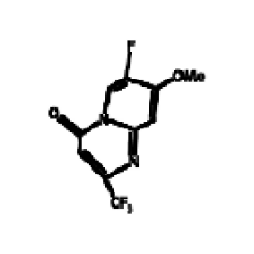 COc1cc2nc(C(F)(F)F)cc(=O)n2cc1F